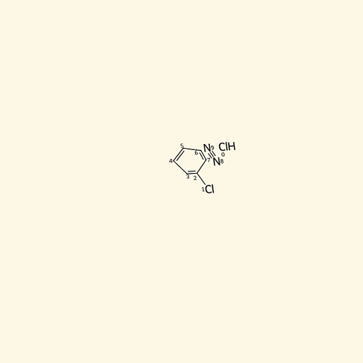 Cl.Clc1ccccc1.N#N